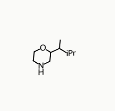 CC(C)C(C)C1CNCCO1